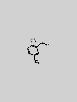 CCOc1cc([N+](=O)[O-])ccc1N